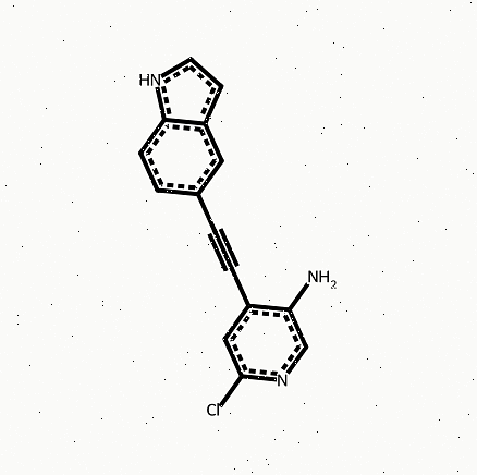 Nc1cnc(Cl)cc1C#Cc1ccc2[nH]ccc2c1